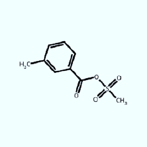 Cc1cccc(C(=O)OS(C)(=O)=O)c1